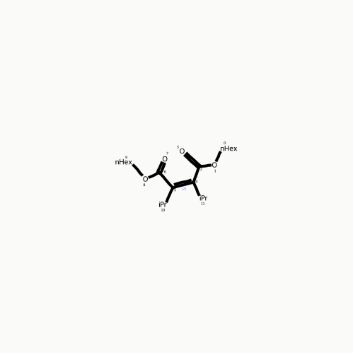 CCCCCCOC(=O)/C(=C(\C(=O)OCCCCCC)C(C)C)C(C)C